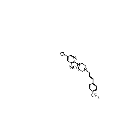 O=[N+]([O-])c1cc(Cl)cnc1N1CCN(CC=Cc2ccc(C(F)(F)F)cc2)CC1